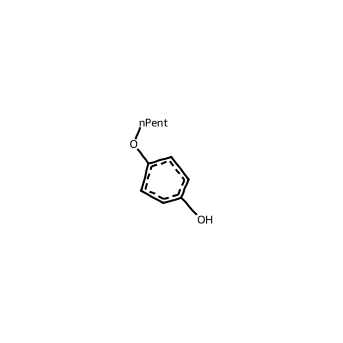 CCCCCOc1ccc(O)cc1